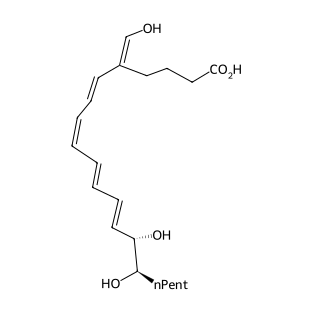 CCCCC[C@@H](O)[C@@H](O)/C=C/C=C/C=C\C=C\C(=C\O)CCCC(=O)O